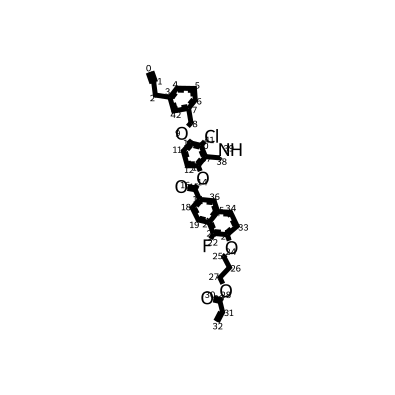 C#CCc1cccc(COc2ccc(OC(=O)c3ccc4c(F)c(OCCCOC(=O)C=C)ccc4c3)c(C=N)c2Cl)c1